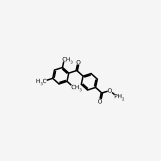 Cc1cc(C)c(C(=O)c2ccc(C(=O)OP)cc2)c(C)c1